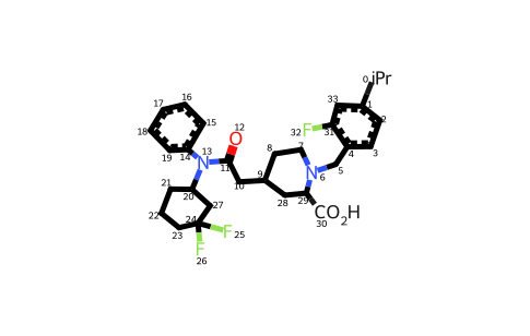 CC(C)c1ccc(CN2CCC(CC(=O)N(c3ccccc3)C3CCCC(F)(F)C3)CC2C(=O)O)c(F)c1